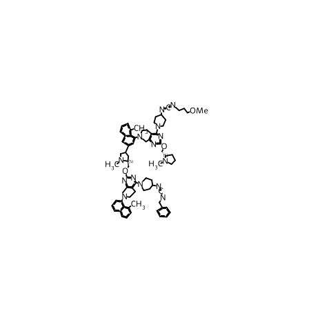 COCCCN=C=NC1CCN(c2nc(OC[C@@H]3CCCN3C)nc3c2CCN(c2cc(C4C[C@@H](COc5nc6c(c(N7CCC(N=C=NCc8ccccc8)CC7)n5)CCN(c5cccc7cccc(C)c57)C6)N(C)C4)cc4cccc(C)c24)C3)CC1